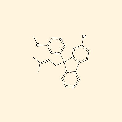 COc1cccc(C2(CC=C(C)C)c3ccccc3-c3ccc(Br)cc32)c1